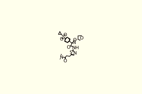 CN(C)C(=O)CCc1cnc(NC(=O)/C(=N/O[C@@H]2CCOC2)c2ccc(S(=O)(=O)C3CC3)cc2)s1